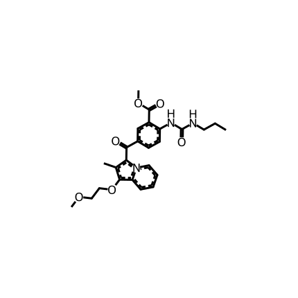 CCCNC(=O)Nc1ccc(C(=O)c2c(C)c(OCCOC)c3ccccn23)cc1C(=O)OC